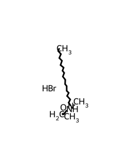 Br.C=C(C)C(=O)NN(CC)CCCCCCCCCCCCCCCCCC